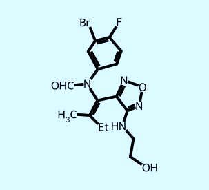 CC/C(C)=C(\c1nonc1NCCO)N(C=O)c1ccc(F)c(Br)c1